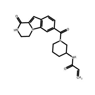 C=CC(=O)NC1CCCN(C(=O)c2ccc3cc4n(c3c2)CCNC4=O)C1